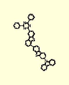 C1=CC(n2c3ccccc3c3ccccc32)Cc2sc3cc(-c4cccc5c4sc4ccc(-c6nc(-c7ccccc7)nc(-c7ccccc7)n6)cc45)ccc3c21